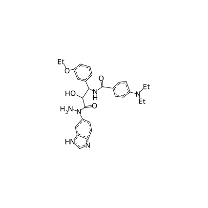 CCOc1cccc(C(NC(=O)c2ccc(N(CC)CC)cc2)C(O)C(=O)N(N)c2ccc3nc[nH]c3c2)c1